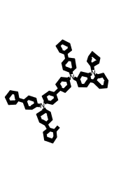 CC1CC=CC=C1c1ccc(N(c2ccc(-c3ccccc3)cc2)c2ccc(-c3ccc(N(c4ccc(-c5ccccc5)cc4)c4ccc5c6ccccc6n(-c6ccccc6)c5c4)cc3)cc2)cc1